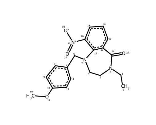 CCN1CCN(Cc2ccc(OC)cc2)c2c(cccc2[N+](=O)[O-])C1=O